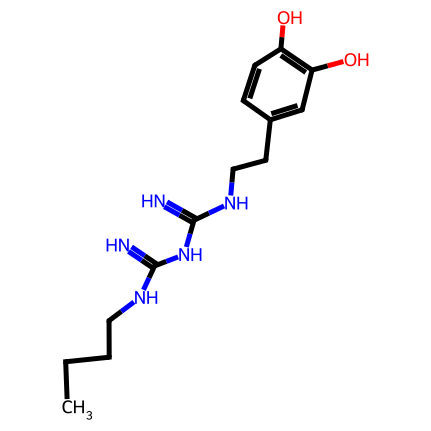 CCCCNC(=N)NC(=N)NCCc1ccc(O)c(O)c1